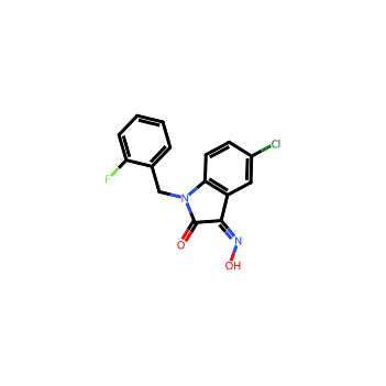 O=C1/C(=N\O)c2cc(Cl)ccc2N1Cc1ccccc1F